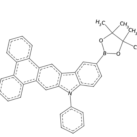 CC1(C)OB(c2ccc3c(c2)c2cc4c5ccccc5c5ccccc5c4cc2n3-c2ccccc2)OC1(C)C